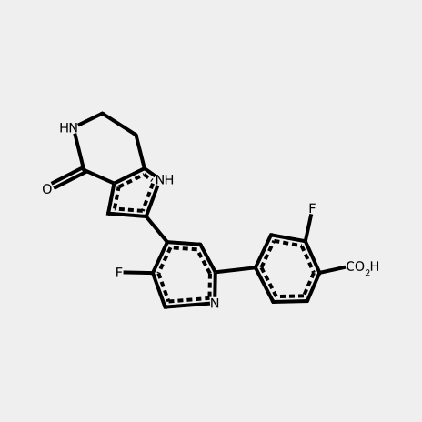 O=C(O)c1ccc(-c2cc(-c3cc4c([nH]3)CCNC4=O)c(F)cn2)cc1F